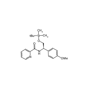 COc1ccc([C@H](CO[Si](C)(C)C(C)(C)C)NC(=O)c2ccccn2)cc1